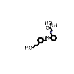 O=C(/C=C/c1ccccc1NCc1cccc(CCCO)c1)NO